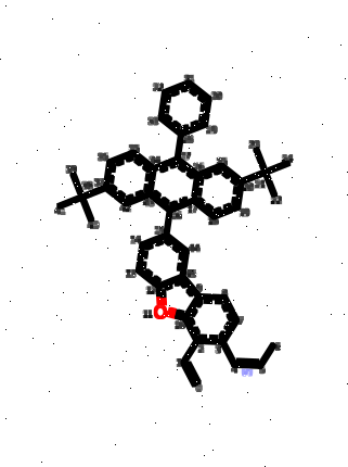 C=Cc1c(/C=C\C)ccc2c1oc1ccc(-c3c4ccc(C(C)(C)C)cc4c(-c4ccccc4)c4ccc(C(C)(C)C)cc34)cc12